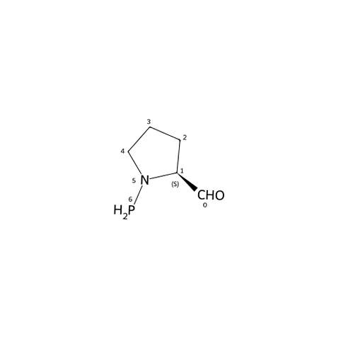 O=C[C@@H]1CCCN1P